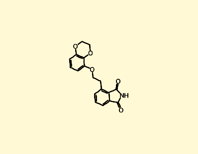 O=C1NC(=O)c2c(CCOc3cccc4c3OCCO4)cccc21